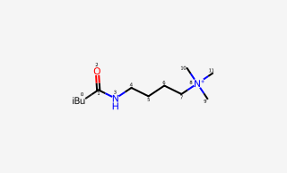 CCC(C)C(=O)NCCCC[N+](C)(C)C